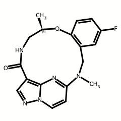 C[C@@H]1CNC(=O)c2cnn3ccc(nc23)N(C)Cc2cc(F)ccc2O1